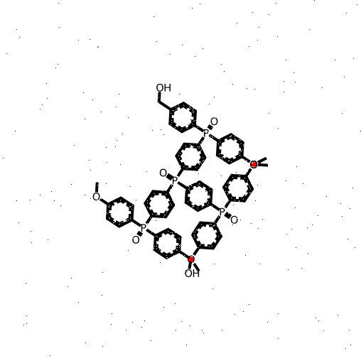 COc1ccc(P(=O)(c2ccc(CO)cc2)c2ccc(P(=O)(c3ccc(P(=O)(c4ccc(CO)cc4)c4ccc(OC)cc4)cc3)c3ccc(P(=O)(c4ccc(OC)cc4)c4ccc(OC)cc4)cc3)cc2)cc1